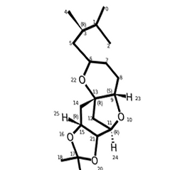 CC(C)[C@H](C)CC1CC[C@@H]2O[C@@H]3C[C@]2(C[C@H]2OC(C)(C)OC32)O1